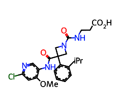 COc1cc(Cl)ncc1NC(=O)C1(c2ccccc2C(C)C)CN(C(=O)NCCC(=O)O)C1